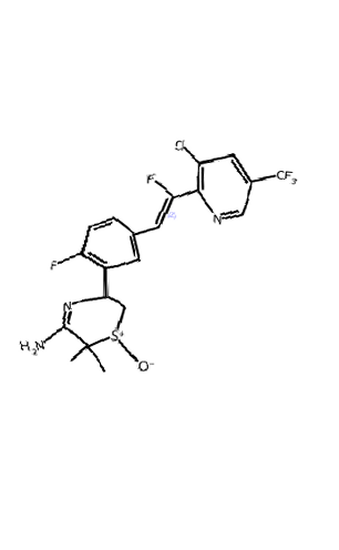 CC1(C)C(N)=NC(c2cc(/C=C(\F)c3ncc(C(F)(F)F)cc3Cl)ccc2F)C[S+]1[O-]